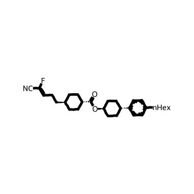 CCCCCCc1ccc([C@H]2CC[C@H](OC(=O)[C@H]3CC[C@H](CCC=C(F)C#N)CC3)CC2)cc1